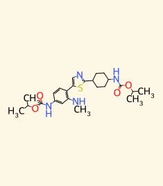 CNc1cc(NC(=O)OC(C)C)ccc1-c1cnc(C2CCC(NC(=O)OC(C)C)CC2)s1